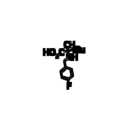 CC(C)(C)C(C)(NCc1ccc(F)cc1)C(=O)O